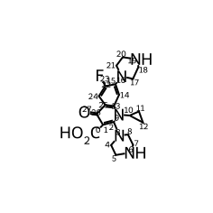 O=C(O)c1c(N2CCNCC2)n(C2CC2)c2cc(N3CCNCC3)c(F)cc2c1=O